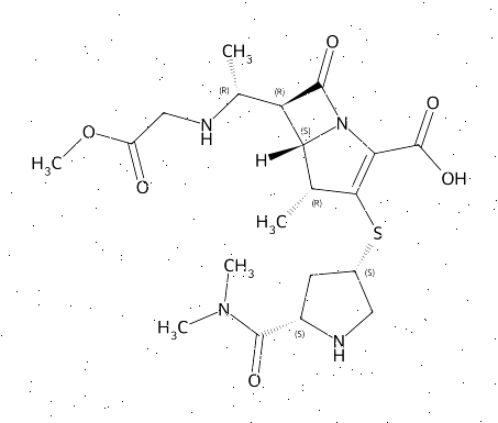 COC(=O)CN[C@H](C)[C@H]1C(=O)N2C(C(=O)O)=C(S[C@@H]3CN[C@H](C(=O)N(C)C)C3)[C@H](C)[C@H]12